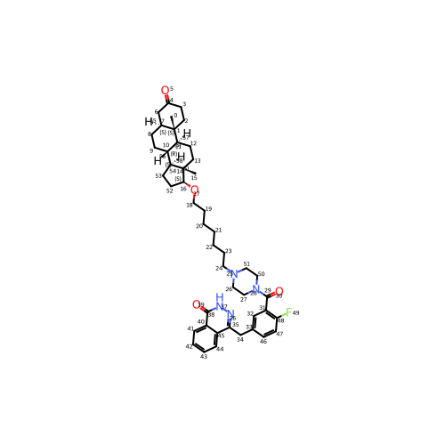 C[C@]12CCC(=O)C[C@@H]1CC[C@@H]1[C@@H]2CC[C@]2(C)[C@@H](OCCCCCCCN3CCN(C(=O)c4cc(Cc5n[nH]c(=O)c6ccccc56)ccc4F)CC3)CC[C@@H]12